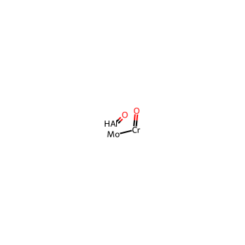 [O]=[AlH].[O]=[Cr][Mo]